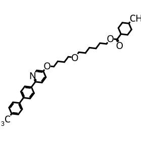 Cc1ccc(-c2ccc(-c3ccc(OCCCCOCCCCCCOC(=O)C4CCC(C)CC4)cn3)cc2)cc1